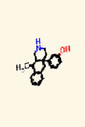 CC1c2ccccc2CC2(c3cccc(O)c3)CCNCC12